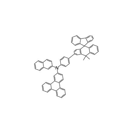 CC1(C)c2ccccc2C2(c3ccccc3-c3ccccc32)c2ccc(-c3ccc(N(c4ccc5ccccc5c4)c4ccc5c6ccccc6c6ccccc6c5c4)cc3)cc21